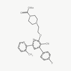 COC(=O)N1CCN(CCOc2nc(-c3ncccc3C)cc(-c3ccc(F)cc3)c2C#N)CC1